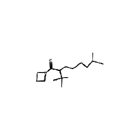 CC(C)CCCCC(C(=O)N1CCC1)C(C)(C)C